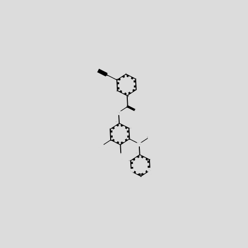 C#Cc1cccc(C(=O)Nc2cc(F)c(F)c(N(C)c3cncnc3)c2)c1